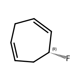 F[C@H]1C=CCC=CC1